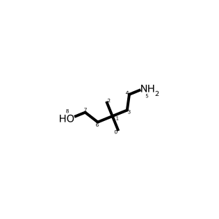 CC(C)(CCN)CCO